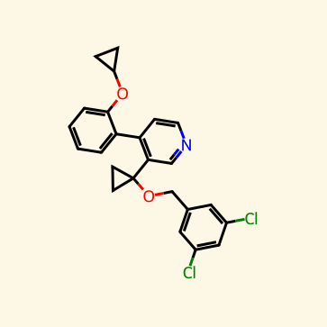 Clc1cc(Cl)cc(COC2(c3cnccc3-c3ccccc3OC3CC3)CC2)c1